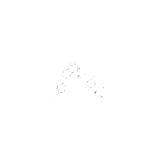 COc1cc(-c2ccc(F)cc2)cc2c(NCc3ccc(S(=O)(=O)N(C)C)cc3)ncnc12